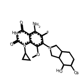 COc1c(N2CC3CCC(O)C(O)C3C2)c(F)c(N)c2c(=O)[nH]c(=O)n(C3CC3)c12